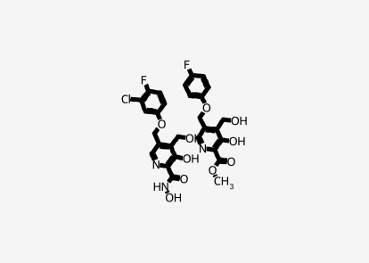 COC(=O)c1ncc(COc2ccc(F)cc2)c(CO)c1O.O=C(NO)c1ncc(COc2ccc(F)c(Cl)c2)c(CO)c1O